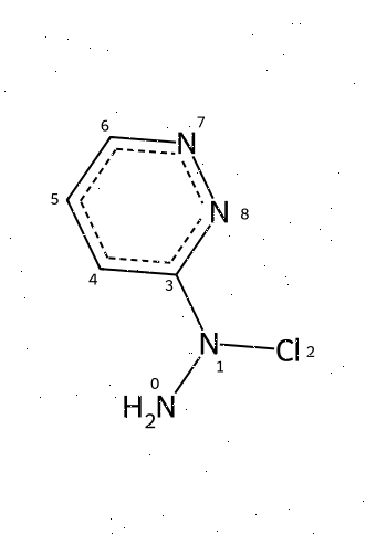 NN(Cl)c1cccnn1